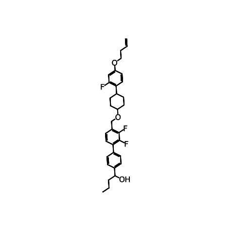 C=CCCOc1ccc(C2CCC(OCc3ccc(-c4ccc(C(O)CCC)cc4)c(F)c3F)CC2)c(F)c1